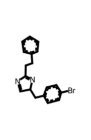 Brc1ccc(CC2C=NC(CCc3ccccc3)=N2)cc1